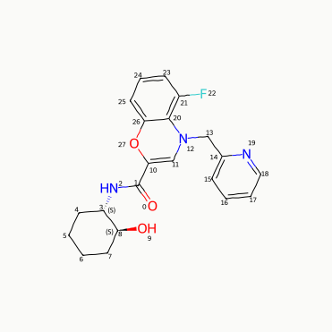 O=C(N[C@H]1CCCC[C@@H]1O)C1=CN(Cc2ccccn2)c2c(F)cccc2O1